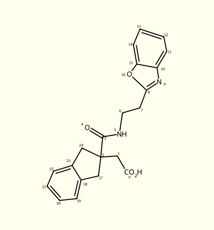 O=C(O)CC1(C(=O)NCCc2nc3ccccc3o2)Cc2ccccc2C1